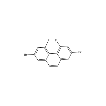 Fc1cc(Br)cc2ccc3cc(Br)cc(F)c3c12